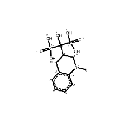 CN1CC(C(O)(P(=O)(O)O)P(=O)(O)O)Cc2ccccc21